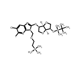 CC(C)(C)[Si](C)(C)O[C@@H]1CO[C@H]2[C@@H]1OC[C@H]2Oc1nc2cc(Cl)c(I)nc2n1COCC[Si](C)(C)C